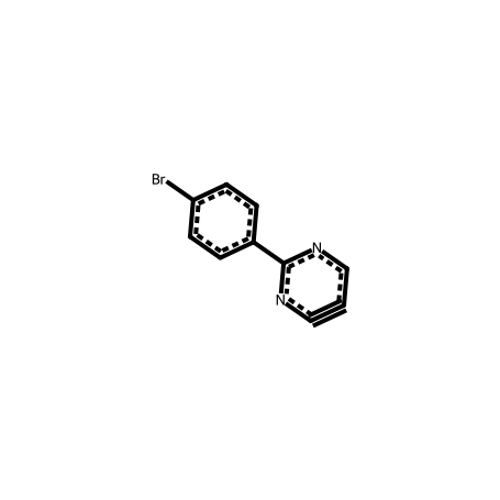 Brc1ccc(-c2nc#ccn2)cc1